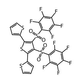 O=S(=O)(c1c(F)c(F)c(F)c(F)c1F)c1c(-c2cccs2)sc(-c2cccs2)c1S(=O)(=O)c1c(F)c(F)c(F)c(F)c1F